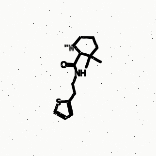 C[C@@H]1CCCC(C)(C)C1C(=O)NCCc1cccs1